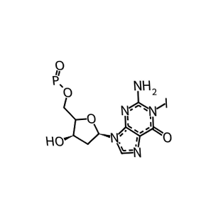 Nc1nc2c(ncn2[C@H]2C[C@@H](O)C(COP=O)O2)c(=O)n1I